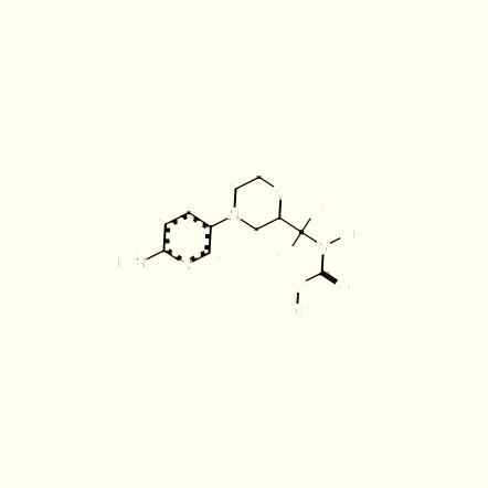 CN(C(=O)OC(C)(C)C)C(C)(C)C1CN(c2ccc(N)nc2)CCO1